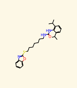 CC(C)c1cccc(C(C)C)c1NC(=O)NCCCCCCCSc1nc2ccccc2o1